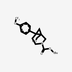 CC(C)(C)OC(=O)N1CCC2(c3ccc(OC(F)(F)F)cc3)CC2(CO)C1